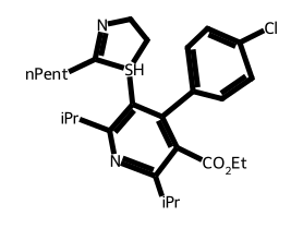 CCCCCC1=NCC[SH]1c1c(C(C)C)nc(C(C)C)c(C(=O)OCC)c1-c1ccc(Cl)cc1